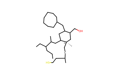 CCCC(CC)C(C)CC1CC(CC2CCCCCCC2)C(CO)C[C@@]1(C)CCC(C)CCS